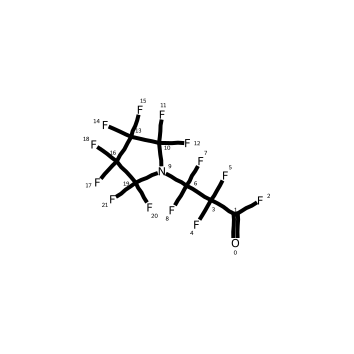 O=C(F)C(F)(F)C(F)(F)N1C(F)(F)C(F)(F)C(F)(F)C1(F)F